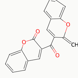 C=C1Oc2ccccc2C=C1C(=O)c1cc2ccccc2oc1=O